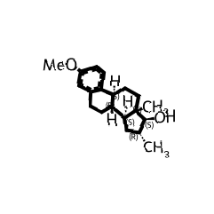 COc1ccc2c(c1)CC[C@@H]1[C@@H]2CC[C@]2(C)[C@@H](O)[C@H](C)C[C@@H]12